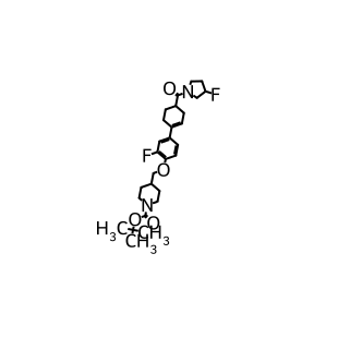 CC(C)(C)OC(=O)N1CCC(COc2ccc(C3=CCC(C(=O)N4CCC(F)C4)CC3)cc2F)CC1